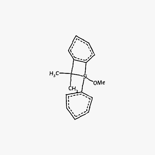 CO[Si]1(c2ccccc2)c2ccccc2C1(C)C